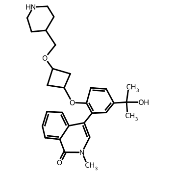 Cn1cc(-c2cc(C(C)(C)O)ccc2OC2CC(OCC3CCNCC3)C2)c2ccccc2c1=O